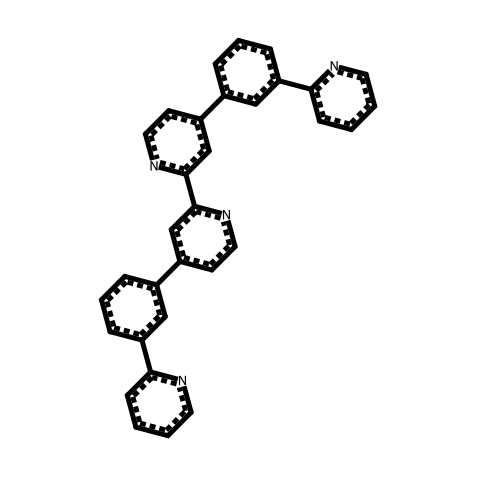 c1ccc(-c2cccc(-c3ccnc(-c4cc(-c5cccc(-c6ccccn6)c5)ccn4)c3)c2)nc1